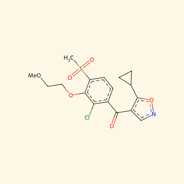 COCCOc1c(S(C)(=O)=O)ccc(C(=O)c2cnoc2C2CC2)c1Cl